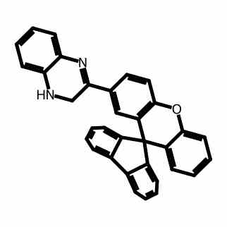 c1ccc2c(c1)N=C(c1ccc3c(c1)C1(c4ccccc4O3)c3ccccc3-c3ccccc31)CN2